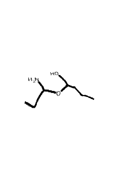 CCCC(O)OC(N)CC